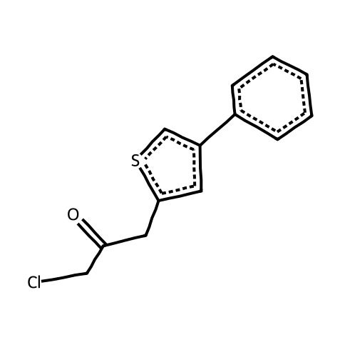 O=C(CCl)Cc1cc(-c2ccccc2)cs1